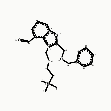 C[Si](C)(C)CCOCn1c(COCc2ccccc2)nc2cccc(C=O)c21